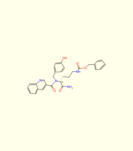 NC(=O)[C@@H](CCCNC(=O)OCc1ccccc1)N(Cc1ccc(O)cc1)C(=O)c1cnc2ccccc2c1